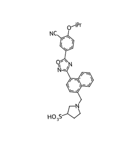 CC(C)Oc1ccc(-c2nc(-c3ccc(CN4CCC(S(=O)(=O)O)C4)c4ccccc34)no2)cc1C#N